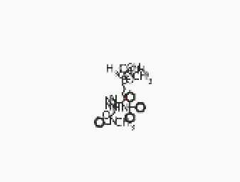 CN(Cc1ccccc1)C(=O)Cn1nnnc1C(CCCCB1OC(C)(C)C(C)(C)O1)NC(c1ccccc1)(c1ccccc1)c1ccccc1